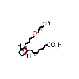 CCC/C=C/COCCCC[C@H]1[C@@H](C/C=C\CCCC(=O)O)[C@H]2CC[C@@H]1O2